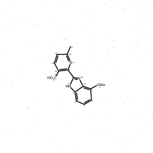 COc1cccc2[nH]c(-c3nc(C)ccc3C(=O)O)nc12